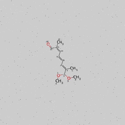 COC(OC)C(C)=CC=CC=C(C)C=O